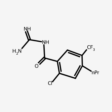 CCCc1cc(Cl)c(C(=O)NC(=N)N)cc1C(F)(F)F